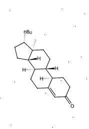 CCCC[C@H]1CC[C@H]2[C@@H]3CCC4=CC(=O)CC[C@@H]4[C@H]3CC[C@]12C